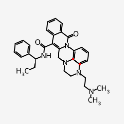 CC[C@H](NC(=O)c1c(CN2CCN(CCN(C)C)CC2)n(-c2ccccc2)c(=O)c2ccccc12)c1ccccc1